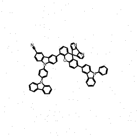 N#Cc1ccc2c(c1)c1cc(-c3cccc4c3Oc3ccc(-c5ccc6c(c5)c5ccccc5n6-c5ccccc5)cc3C43c4cccnc4-c4ncccc43)ccc1n2-c1ccc(-n2c3ccccc3c3ccccc32)cc1